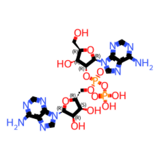 Nc1ncnc2c1ncn2[C@@H]1O[C@H](COP(=O)(O[C@@H]2[C@H](O)[C@@H](CO)O[C@H]2n2cnc3c(N)ncnc32)OP(=O)(O)O)[C@@H](O)[C@H]1O